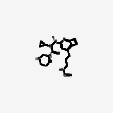 CONCCCc1cc([C@@H](C)N(C(=O)[C@H]2CNCCO2)C2CC2)nc2c1C=C2